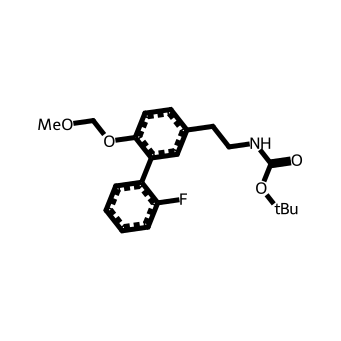 COCOc1ccc(CCNC(=O)OC(C)(C)C)cc1-c1ccccc1F